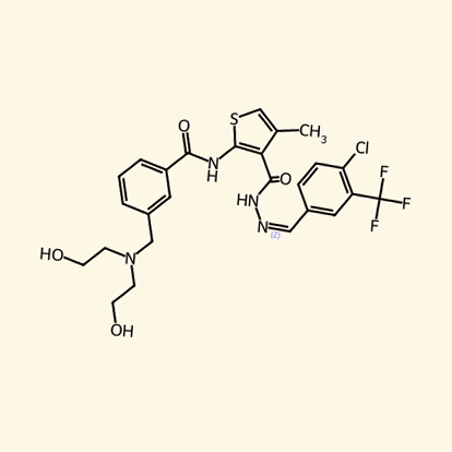 Cc1csc(NC(=O)c2cccc(CN(CCO)CCO)c2)c1C(=O)N/N=C\c1ccc(Cl)c(C(F)(F)F)c1